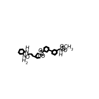 CS(=O)(=O)NCc1cccc(-c2cccc(S(=O)(=O)n3ccc(C=CC(=O)Nc4ccccc4N)c3)c2)c1